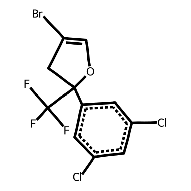 FC(F)(F)C1(c2cc(Cl)cc(Cl)c2)CC(Br)=CO1